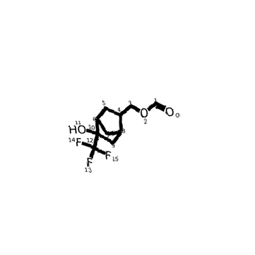 O=COCC1CC2CC1CC2(O)C(F)(F)F